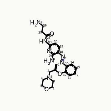 C=C(CN1CCOCC1)Oc1ccccc1/N=N/c1ccc(NC(=O)CCN)nc1N